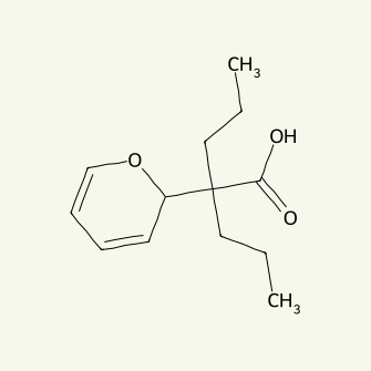 CCCC(CCC)(C(=O)O)C1C=CC=CO1